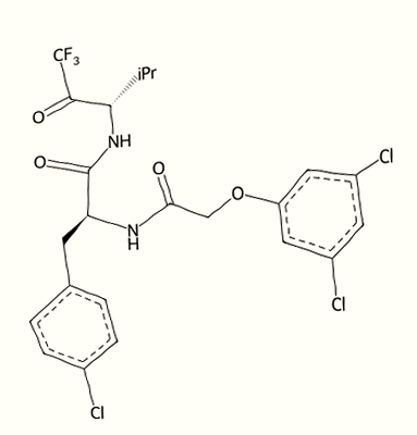 CC(C)[C@H](NC(=O)[C@H](Cc1ccc(Cl)cc1)NC(=O)COc1cc(Cl)cc(Cl)c1)C(=O)C(F)(F)F